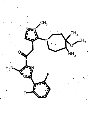 COC1(C)CCN(c2c(CC(=O)c3nc(-c4c(F)cccc4F)sc3N)cnn2C)CCC1N